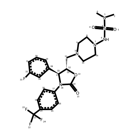 CN(C)S(=O)(=O)NN1CCN(C[C@@H]2OC(=O)N(c3ccc(C(F)(F)F)cc3)[C@H]2c2cccc(F)c2)CC1